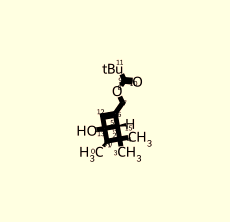 C[C@@H]1C(C)(C)[C@H]2C(COC(=O)C(C)(C)C)=CC12O